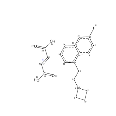 Fc1ccc2c(CCN3CCC3)cccc2c1.O=C(O)/C=C/C(=O)O